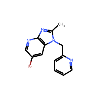 Cc1nc2ncc(Br)cc2n1Cc1ccccn1